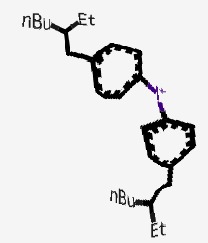 CCCCC(CC)Cc1ccc([I+]c2ccc(CC(CC)CCCC)cc2)cc1